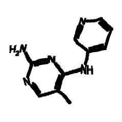 Cc1cnc(N)nc1Nc1cccnc1